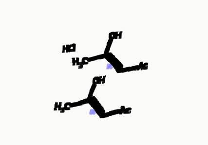 CC(=O)/C=C(/C)O.CC(=O)/C=C(/C)O.Cl